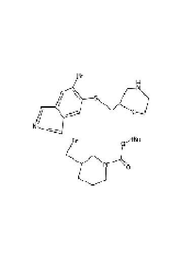 Brc1cc2cnccc2cc1SCC1CCCNC1.CC(C)(C)OC(=O)N1CCCC(CBr)C1